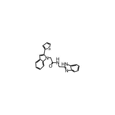 O=C(Cn1c(-c2cccs2)cc2ccccc21)NCc1nc2ccccc2[nH]1